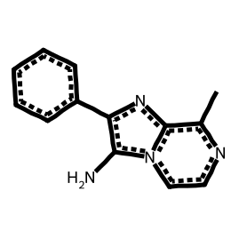 Cc1nccn2c(N)c(-c3ccccc3)nc12